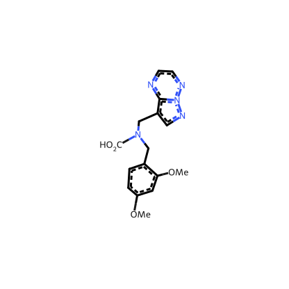 COc1ccc(CN(Cc2cnn3nccnc23)C(=O)O)c(OC)c1